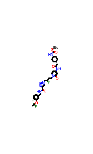 CC(C)(C)OC(=O)N[C@H]1CC[C@H](CC(=O)Nc2ccn(CCC(F)Cn3cc(C(=O)NCc4cccc(OC(C)(F)F)c4)nn3)c(=O)c2)CC1